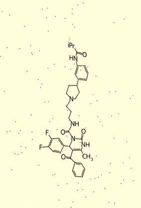 CC1=C(C(=O)c2ccccc2)C(c2ccc(F)c(F)c2)N(C(=O)NCCCN2CCC(c3cccc(NC(=O)C(C)C)c3)CC2)C(=O)N1